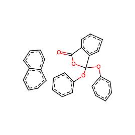 O=C1OC(Oc2ccccc2)(Oc2ccccc2)c2ccccc21.c1ccc2ccccc2c1